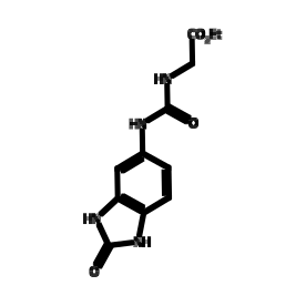 CCOC(=O)CNC(=O)Nc1ccc2[nH]c(=O)[nH]c2c1